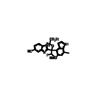 CCOC(=O)C(F)OC(c1nc2cc(C#N)ccc2[nH]1)(c1c(OC)cc(C)c2[nH]ccc12)C(F)F